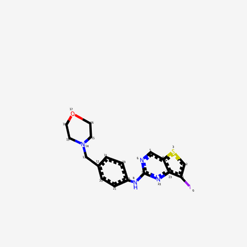 Ic1csc2cnc(Nc3ccc(CN4CCOCC4)cc3)nc12